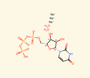 O.O.O=c1ccn([C@@H]2O[C@H](COP(=O)([O-])OP(=O)([O-])OP(=O)([O-])O)[C@@H](O)[C@H]2O)c(=O)[nH]1.[Na+].[Na+].[Na+]